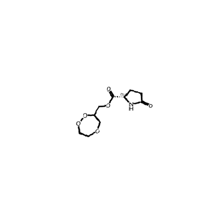 O=C1CC[C@@H](C(=O)OCC2COCCOO2)N1